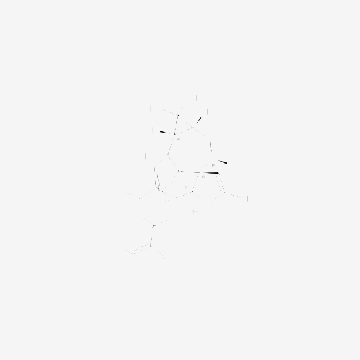 C/C=C(/C)C(=O)O[C@@H]1C(CO)=C[C@@H]2C(O)[C@]3(C=C(C)[C@H](O)[C@@]13O)[C@H](C)C[C@@H]1[C@H]2C1(C)C